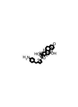 C[C@]12C=CC(=O)C=C1CC[C@@H]1[C@@H]2[C@@H](O)C[C@@]2(C)[C@H]1C[C@H]1O[C@@H](c3ccc(Cc4ccc(N)cc4)s3)O[C@]12C(=O)CO